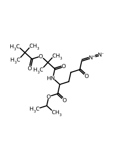 CC(C)OC(=O)C(CCC(=O)C=[N+]=[N-])NC(=O)C(C)(C)OC(=O)C(C)(C)C